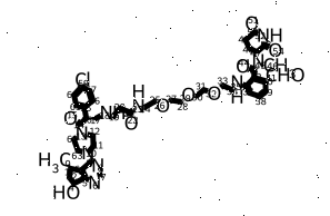 C[C@@H]1C[C@@H](O)c2ncnc(N3CCN(C(=O)[C@H](CNCCC(=O)NCCOCCOCCOCCNc4cccc(C=O)c4C(=O)N(C)C4CCC(=O)NC4=O)c4ccc(Cl)cc4)CC3)c21